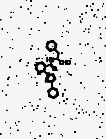 O=C[C@H](Cc1ccccc1)NC(=O)c1cccnc1-n1ccc(-c2ccccc2)n1